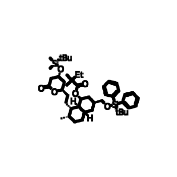 CCC(C)(C)C(=O)O[C@H]1C[C@@H](CO[Si](c2ccccc2)(c2ccccc2)C(C)(C)C)C[C@@H]2CC[C@H](C)[C@H](CC[C@@H]3C[C@@H](O[Si](C)(C)C(C)(C)C)CC(=O)O3)[C@H]21